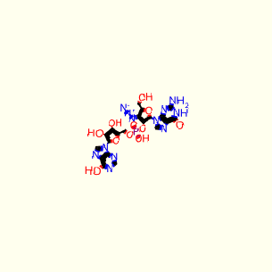 [N-]=[N+]=NC1[C@@H](OP(=O)(O)OC[C@H]2O[C@@H](n3cnc4c(O)ncnc43)[C@H](O)[C@@H]2O)[C@H](n2cnc3c(=O)[nH]c(N)nc32)O[C@@H]1CO